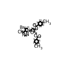 Cc1ccc(C(=O)OC[C@@H]2O[C@H](n3cc(Br)c4c(Cl)ncnc43)C[C@@H]2OC(=O)c2ccc(C)cc2)cc1